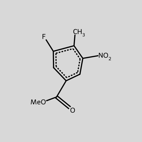 COC(=O)c1cc(F)c(C)c([N+](=O)[O-])c1